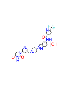 CC(C)(O)c1cc2nn(C3CCN(Cc4cncc(N5CCC(=O)NC5=O)c4)CC3)cc2cc1NC(=O)c1ccc(C(F)(F)F)nc1